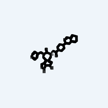 O=C(C[C@@H]1Cc2cc(Cl)c3[nH]ncc3c2CN(Cc2ccncc2)C1=O)N1CCC(c2cc3ccccc3cn2)CC1